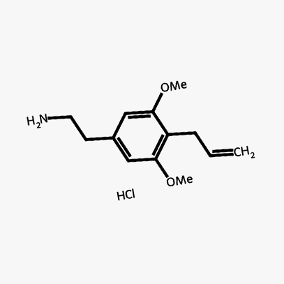 C=CCc1c(OC)cc(CCN)cc1OC.Cl